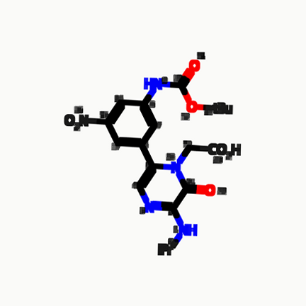 CC(C)Nc1ncc(-c2cc(NC(=O)OC(C)(C)C)cc([N+](=O)[O-])c2)n(CC(=O)O)c1=O